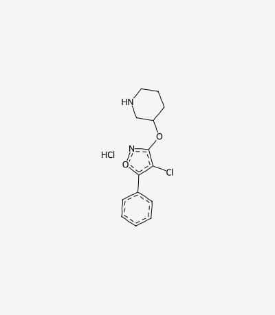 Cl.Clc1c(OC2CCCNC2)noc1-c1ccccc1